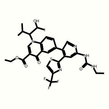 CCNC(=O)Nc1cc(-c2nc(C(F)(F)F)cs2)c(-c2ccc3c(c2)c(=O)c(C(=O)OCC)cn3C(C(C)C)C(O)I)cn1